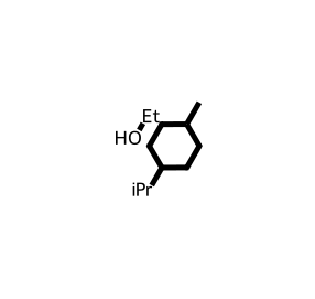 CC1CCC(C(C)C)CC1.CCO